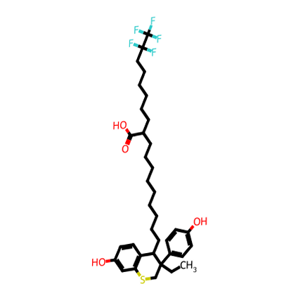 CCC1(c2ccc(O)cc2)CSc2cc(O)ccc2C1CCCCCCCCCC(CCCCCCC(F)(F)C(F)(F)F)C(=O)O